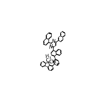 CC1(C)c2ccccc2-c2cccc(-c3cccc(-c4ccc(-c5cc(-c6ccc7ccccc7c6)nc(-c6cccc7ccccc67)n5)c5ccccc45)c3)c21